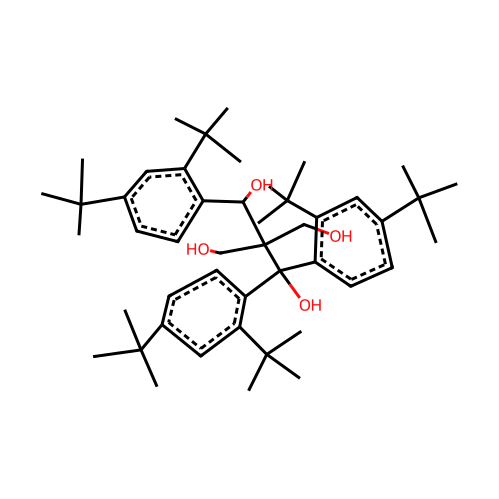 CC(C)(C)c1ccc(C(O)C(CO)(CO)C(O)(c2ccc(C(C)(C)C)cc2C(C)(C)C)c2ccc(C(C)(C)C)cc2C(C)(C)C)c(C(C)(C)C)c1